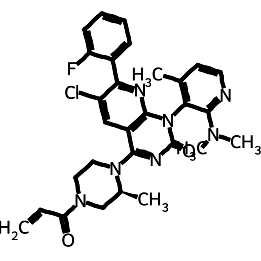 C=CC(=O)N1CCN(c2nc(=O)n(-c3c(C)ccnc3N(C)C)c3nc(-c4ccccc4F)c(Cl)cc23)[C@@H](C)C1